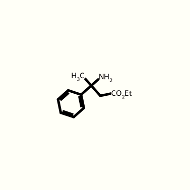 CCOC(=O)CC(C)(N)c1ccccc1